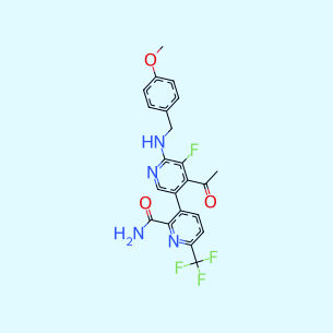 COc1ccc(CNc2ncc(-c3ccc(C(F)(F)F)nc3C(N)=O)c(C(C)=O)c2F)cc1